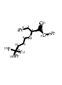 CCCOC(=O)C(CC(C)C)SCCCC(F)(F)CCC